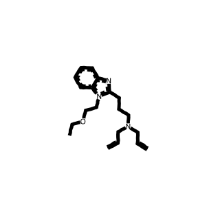 C=CCN(CC=C)CCCc1nc2ccccc2n1CCOCC